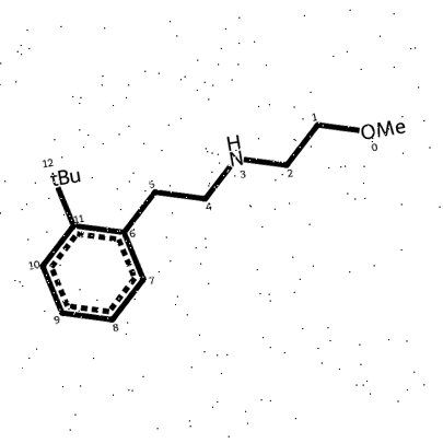 COCCNCCc1ccccc1C(C)(C)C